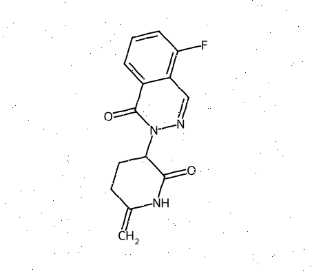 C=C1CCC(n2ncc3c(F)cccc3c2=O)C(=O)N1